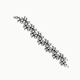 OCC(F)(OC(F)(F)C(F)(OC(F)(F)C(F)(OC(F)(F)C(F)(OC(F)(F)C(F)(OC(F)(F)C(F)(OC(F)(F)C(F)(OC(F)(F)C(F)(OC(F)(F)C(F)(OC(F)(F)C(F)(OC(F)(F)C(F)(OC(F)(F)C(F)(OC(F)(F)C(F)(F)C(F)(F)F)C(F)(F)F)C(F)(F)F)C(F)(F)F)C(F)(F)F)C(F)(F)F)C(F)(F)F)C(F)(F)F)C(F)(F)F)C(F)(F)F)C(F)(F)F)C(F)(F)F)C(F)(F)F